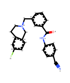 N#Cc1ccc(NC(=O)c2cccc(CN3CCc4cc(F)ccc4C3)c2)cc1